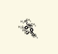 C=CC(=O)Nc1cc(Nc2nccc(-n3cc(CS(C)(=O)=O)c4ccccc43)n2)c(OC)cc1N(C)CCN(C)C